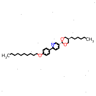 CCCCCCCCCCOc1ccc(-c2ccc([C@H]3OC[C@H](CCCCCC)CO3)cn2)cc1